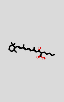 CCCCCC(C(=O)O)C(=O)/C=C(C)/C=C/C=C(C)/C=C/C1=C(C)CCCC1(C)C